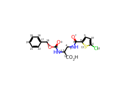 O=C(NC(CNC(=O)c1ccc(Cl)s1)C(=O)O)OCc1ccccc1